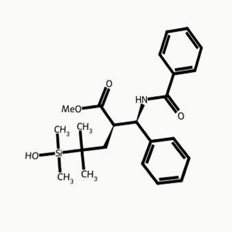 COC(=O)[C@H](CC(C)(C)[Si](C)(C)O)[C@@H](NC(=O)c1ccccc1)c1ccccc1